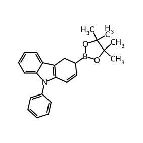 CC1(C)OB(C2C=Cc3c(c4ccccc4n3-c3ccccc3)C2)OC1(C)C